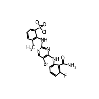 Cc1cccc(S(=O)(=O)Cl)c1Nc1ncc(Br)c(Nc2cccc(F)c2C(N)=O)n1